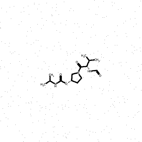 CC(C)NC(=O)O[C@H]1CCN(C(=O)[C@@H](NC=O)C(C)C)C1